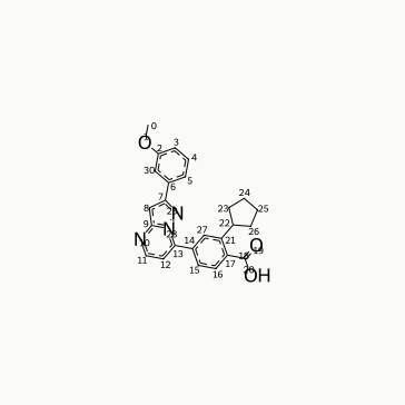 COc1cccc(-c2cc3nccc(-c4ccc(C(=O)O)c(C5CCCC5)c4)n3n2)c1